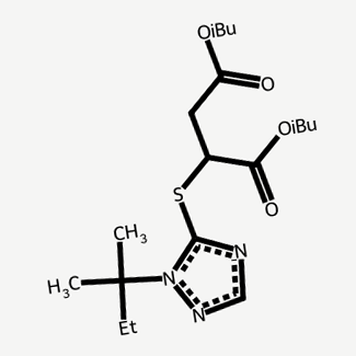 CCC(C)(C)n1ncnc1SC(CC(=O)OCC(C)C)C(=O)OCC(C)C